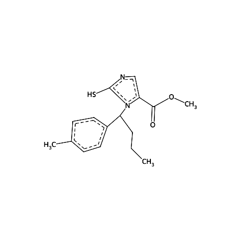 CCCC(c1ccc(C)cc1)n1c(C(=O)OC)cnc1S